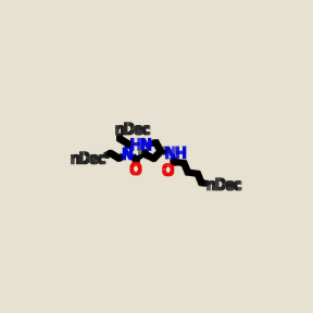 CCCCCCCCCCCCCCC(=O)N[C@@H]1CN[C@H](C(=O)N(CCCCCCCCCCCC)CCCCCCCCCCCC)C1